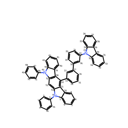 c1ccc(-n2c3ccccc3c3c(-c4cccc(-c5cccc(-n6c7ccccc7c7ccccc76)c5)c4)c4c5ccccc5n(-c5ccccc5)c4cc32)cc1